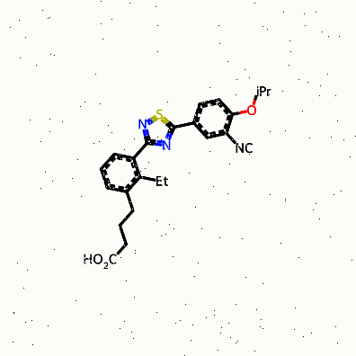 [C-]#[N+]c1cc(-c2nc(-c3cccc(CCCC(=O)O)c3CC)ns2)ccc1OC(C)C